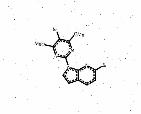 COc1nc(-n2ccc3ccc(Br)nc32)nc(OC)c1Br